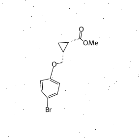 COC(=O)[C@H]1C[C@H]1COc1ccc(Br)cc1